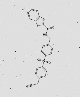 N#CCc1ccc(S(=O)(=O)c2ccc(CNC(=O)c3cc4ccncc4s3)cc2)cc1